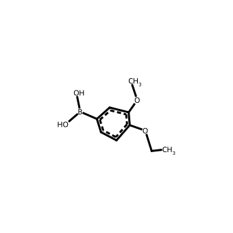 CCOc1ccc(B(O)O)cc1OC